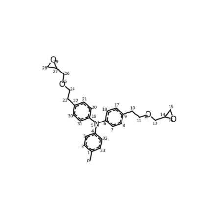 Cc1ccc(N(c2ccc(CCOCC3CO3)cc2)c2ccc(CCOCC3CO3)cc2)cc1